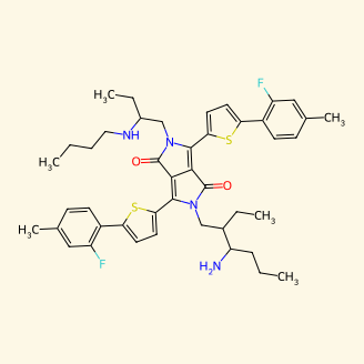 CCCCNC(CC)CN1C(=O)C2=C(c3ccc(-c4ccc(C)cc4F)s3)N(CC(CC)C(N)CCC)C(=O)C2=C1c1ccc(-c2ccc(C)cc2F)s1